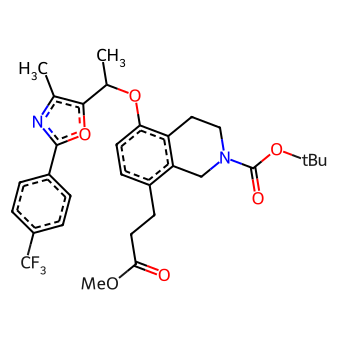 COC(=O)CCc1ccc(OC(C)c2oc(-c3ccc(C(F)(F)F)cc3)nc2C)c2c1CN(C(=O)OC(C)(C)C)CC2